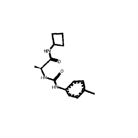 Cc1ccc(NC(=O)N[C@@H](C)C(=O)NC2CCC2)cc1